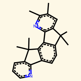 Cc1cc2c(nc1C)-c1c(ccc3c1C(C)(C)c1cccnc1-3)C2(C)C